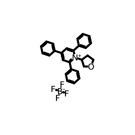 F[B-](F)(F)F.c1ccc(-c2cc(-c3ccccc3)[n+](C3CCOC3)c(-c3ccccc3)c2)cc1